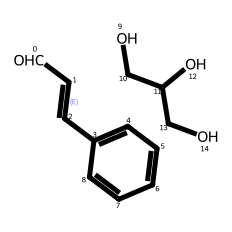 O=C/C=C/c1ccccc1.OCC(O)CO